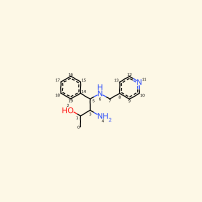 CC(O)C(N)C(NCc1ccncc1)c1ccccc1